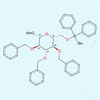 CO[C@@H]1O[C@H](CO[Si](c2ccccc2)(c2ccccc2)C(C)(C)C)[C@@H](OCc2ccccc2)[C@H](OCc2ccccc2)[C@H]1OCc1ccccc1